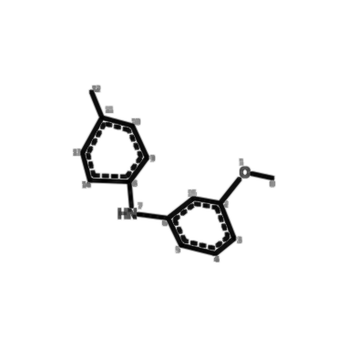 COc1cccc(Nc2ccc(C)cc2)c1